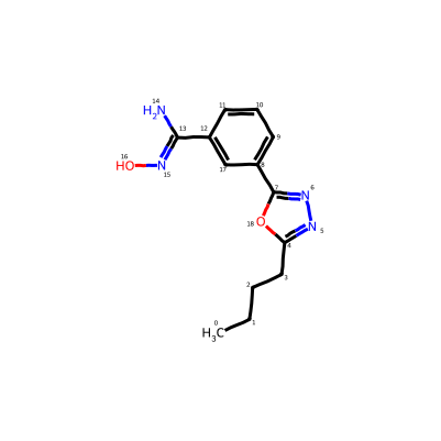 CCCCc1nnc(-c2cccc(/C(N)=N/O)c2)o1